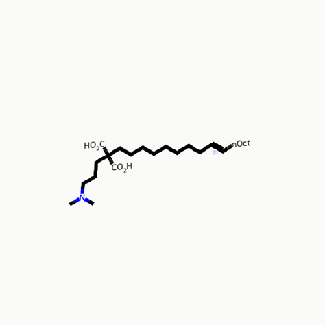 CCCCCCCC/C=C/CCCCCCCCC(CCCN(C)C)(C(=O)O)C(=O)O